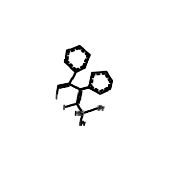 CC(C)[SiH](C(I)=C(C(=CI)c1ccccc1)c1ccccc1)C(C)C